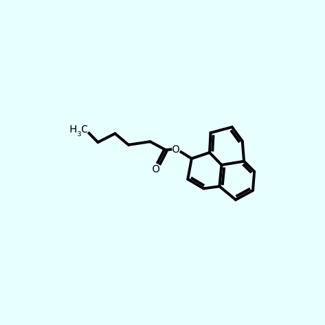 CCCCCC(=O)OC1C=Cc2cccc3cccc1c23